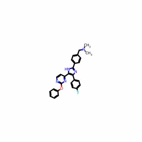 CN(C)Cc1ccc(-c2nc(-c3ccc(F)cc3)c(-c3ccnc(Oc4ccccc4)n3)[nH]2)cc1